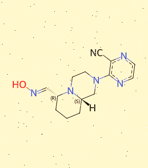 N#Cc1nccnc1N1CCN2[C@@H](CCC[C@@H]2C=NO)C1